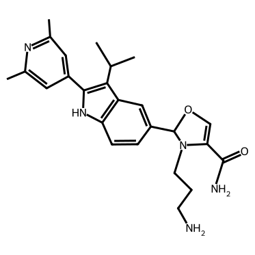 Cc1cc(-c2[nH]c3ccc(C4OC=C(C(N)=O)N4CCCN)cc3c2C(C)C)cc(C)n1